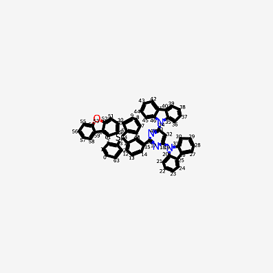 c1ccc([Si](c2ccccc2)(c2cccc(-c3nc(-n4c5ccccc5c5ccccc54)cc(-n4c5ccccc5c5ccccc54)n3)c2)c2ccc3oc4ccccc4c3c2)cc1